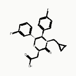 O=C(O)C[C@H]1O[C@H](c2cccc(Cl)c2)[C@@H](c2ccc(F)cc2)N(CC2CC2)C1=O